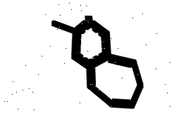 Cc1cc2c(cn1)=CCC=CC=2